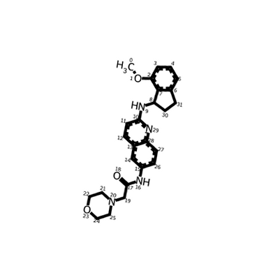 COc1cccc2c1C(Nc1ccc3cc(NC(=O)CN4CCOCC4)ccc3n1)CC2